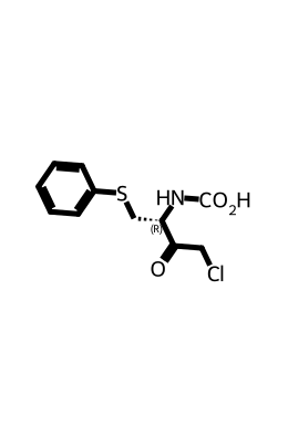 O=C(O)N[C@@H](CSc1ccccc1)C(=O)CCl